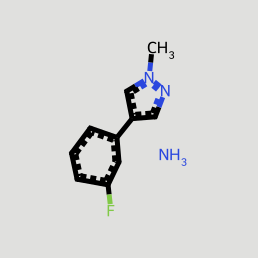 Cn1cc(-c2cccc(F)c2)cn1.N